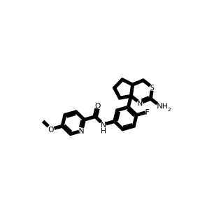 COc1ccc(C(=O)Nc2ccc(F)c(C34CCCC3CSC(N)=N4)c2)nc1